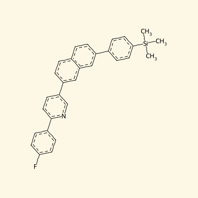 C[Si](C)(C)c1ccc(-c2ccc3ccc(-c4ccc(-c5ccc(F)cc5)nc4)cc3c2)cc1